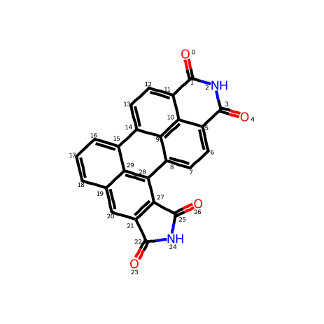 O=C1NC(=O)c2ccc3c4c2c1ccc4c1cccc2cc4c(=O)[nH]c(=O)c4c3c21